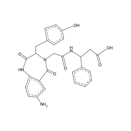 Nc1ccc2c(c1)C(=O)N(CC(=O)NC(CC(=O)O)c1ccccc1)C(Cc1ccc(O)cc1)C(=O)N2